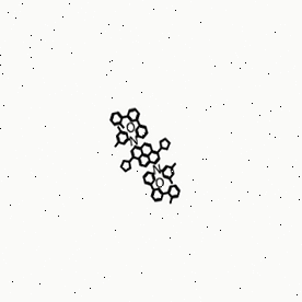 Cc1cc(C)cc(N(c2cc(C3CCCC3)c3ccc4c(N(c5cc(C)cc(C)c5)c5cccc6c5oc5c(-c7ccccc7C)cccc56)cc(C5CCCC5)c5ccc2c3c54)c2cccc3c2oc2c(-c4ccccc4C)cccc23)c1